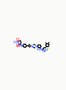 Cc1cc(F)c(-c2cc(Nc3cccc(N4CCN(C5CC(c6ccc(NC7CCC(=O)NC7=O)cc6)C5)CC4)c3)ncn2)cc1C